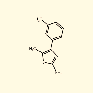 Cc1cccc(-c2nc(N)sc2C)n1